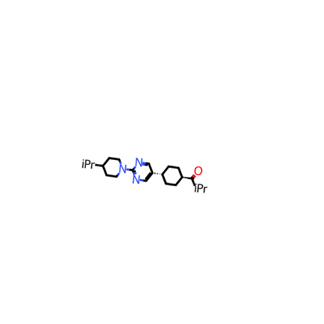 CC(C)C(=O)[C@H]1CC[C@H](c2cnc(N3CCC(C(C)C)CC3)nc2)CC1